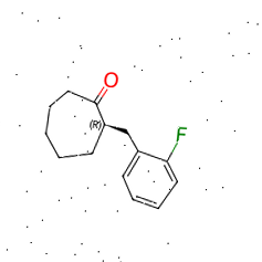 O=C1CCCCC[C@@H]1Cc1ccccc1F